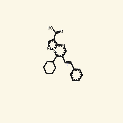 O=C(O)c1cnn2c(C3CCCCC3)c(/C=C/c3ccccc3)cnc12